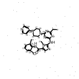 CCc1nc(Nc2ncc(C(=O)Nc3c(C)cccc3Cl)n2C)nc(N2CCN(c3ccncc3)CC2)n1